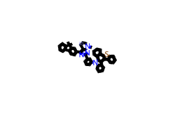 C=Nc1nc(-c2cccc(-n3c4ccccc4c4c5c6ccccc6sc5c5ccccc5c43)c2)nc(-c2ccc3c(c2)C(C)(C)c2ccccc2-3)c1/C=C\C